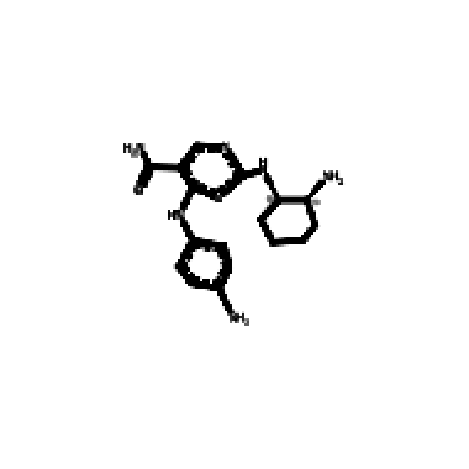 NC(=O)c1cnc(N[C@@H]2CCCC[C@@H]2N)nc1Nc1ccc(N)cc1